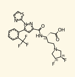 O=C(O)C[C@H](CCN1C[C@@H](F)[C@H](F)C1)NC(=O)c1cc(-c2ccccc2C(F)(F)F)n(-c2nccs2)n1